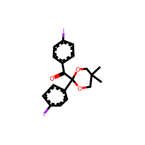 CC1(C)COC(C(=O)c2ccc(I)cc2)(c2ccc(I)cc2)OC1